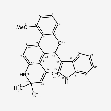 COc1cccc2c1-c1ccc3c(c1C(c1c[nH]c4ccccc14)O2)C(C)=CC(C)(C)N3